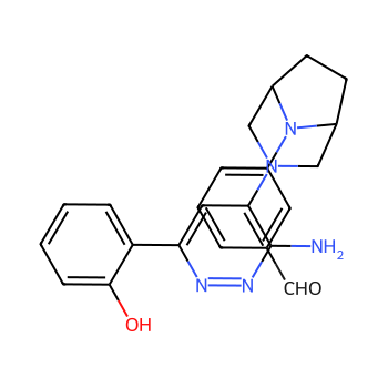 Nc1nnc(-c2ccccc2O)cc1N1CC2CCC(C1)N2c1cccc(C=O)c1